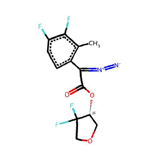 Cc1c(C(=[N+]=[N-])C(=O)O[C@@H]2COCC2(F)F)ccc(F)c1F